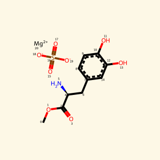 COC(=O)[C@@H](N)Cc1ccc(O)c(O)c1.O=S(=O)([O-])[O-].[Mg+2]